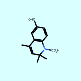 CC1=CC(C)(C)N(C(=O)O)c2ccc(C=O)cc21